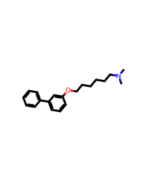 CN(C)CCCCCCOc1cccc(-c2ccccc2)c1